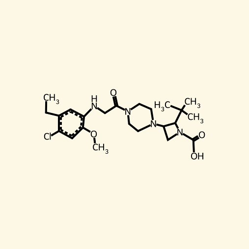 CCc1cc(NCC(=O)N2CCN(C3CN(C(=O)O)C3C(C)(C)C)CC2)c(OC)cc1Cl